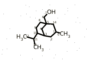 CC1CC2CC(CO)(CCC2C(C)C)C1